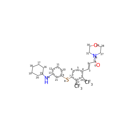 O=C(/C=C/c1ccc(Sc2cccc(NC3CCCCC3)c2)c(C(F)(F)F)c1C(F)(F)F)N1CCOCC1